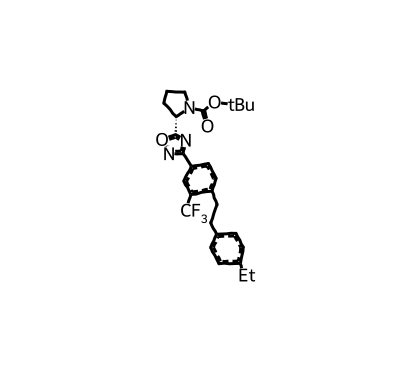 CCc1ccc(CCc2ccc(-c3noc([C@@H]4CCCN4C(=O)OC(C)(C)C)n3)cc2C(F)(F)F)cc1